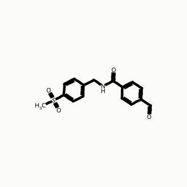 CS(=O)(=O)c1ccc(CNC(=O)c2ccc(C=O)cc2)cc1